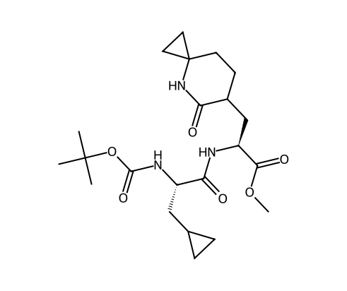 COC(=O)[C@H](CC1CCC2(CC2)NC1=O)NC(=O)[C@H](CC1CC1)NC(=O)OC(C)(C)C